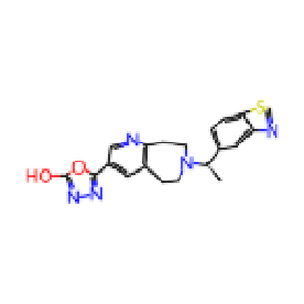 C[C@H](c1ccc2scnc2c1)N1CCc2cc(-c3nnc(O)o3)cnc2CC1